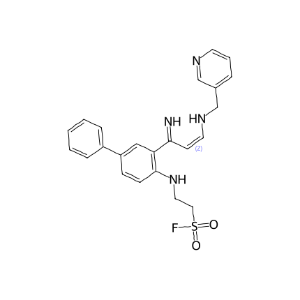 N=C(/C=C\NCc1cccnc1)c1cc(-c2ccccc2)ccc1NCCS(=O)(=O)F